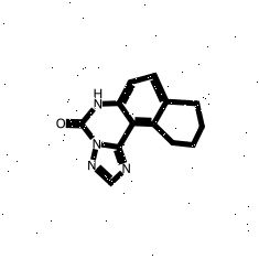 O=c1[nH]c2ccc3c(c2c2ncnn12)CCCC3